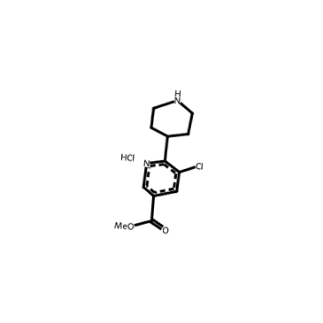 COC(=O)c1cnc(C2CCNCC2)c(Cl)c1.Cl